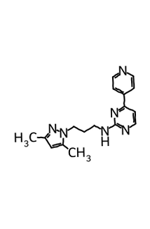 Cc1cc(C)n(CCCNc2nccc(-c3ccncc3)n2)n1